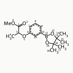 COC(=O)C(C)Oc1cccc(B2OC(C)(C)C(C)(C)O2)c1